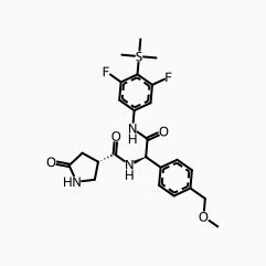 COCc1ccc([C@@H](NC(=O)[C@@H]2CNC(=O)C2)C(=O)Nc2cc(F)c(S(C)(C)C)c(F)c2)cc1